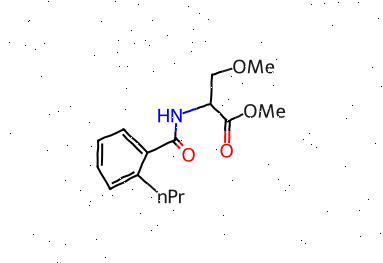 CCCc1ccccc1C(=O)NC(COC)C(=O)OC